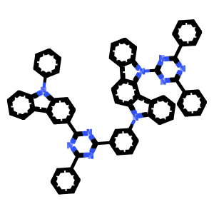 c1ccc(-c2nc(-c3cccc(-n4c5ccccc5c5c4ccc4c6ccccc6n(-c6nc(-c7ccccc7)nc(-c7ccccc7)n6)c45)c3)nc(-c3ccc4c(c3)c3ccccc3n4-c3ccccc3)n2)cc1